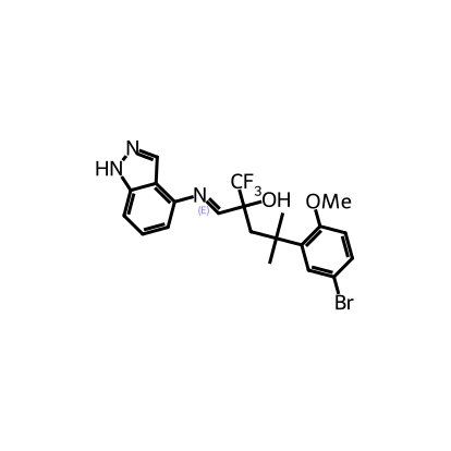 COc1ccc(Br)cc1C(C)(C)CC(O)(/C=N/c1cccc2[nH]ncc12)C(F)(F)F